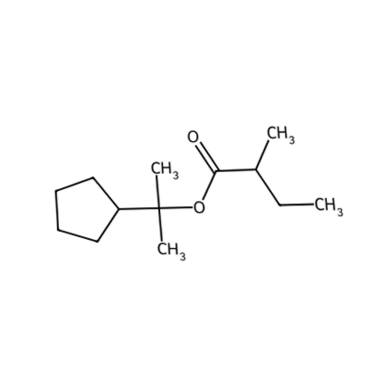 CCC(C)C(=O)OC(C)(C)C1CCCC1